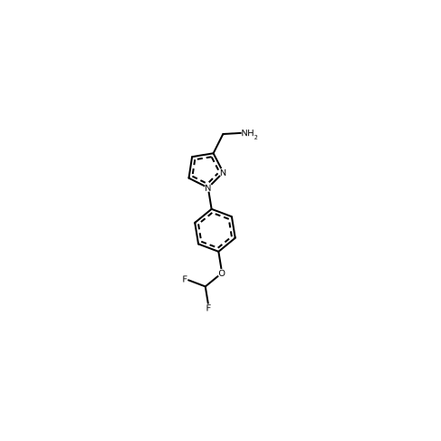 NCc1ccn(-c2ccc(OC(F)F)cc2)n1